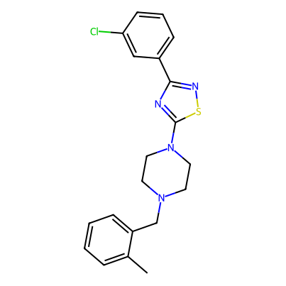 Cc1ccccc1CN1CCN(c2nc(-c3cccc(Cl)c3)ns2)CC1